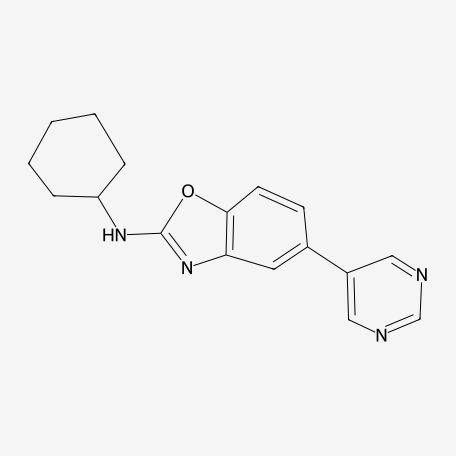 c1ncc(-c2ccc3oc(NC4CCCCC4)nc3c2)cn1